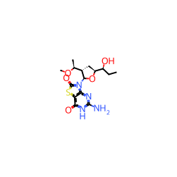 CC[C@H](O)[C@@H]1C[C@@H]([C@H](C)OC)[C@H](n2c(=O)sc3c(=O)[nH]c(N)nc32)O1